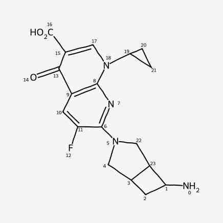 NC1CC2CN(c3nc4c(cc3F)c(=O)c(C(=O)O)cn4C3CC3)CC12